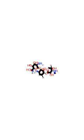 CN[C@@H]1[C@@H](O)[C@@H](O[C@H]2[C@H](O)[C@@H](O[C@H]3O[C@H]([C@H](C)O)[C@@H](O)[C@H](O)[C@H]3N)[C@H](N)C[C@@H]2C)OC[C@]1(C)O